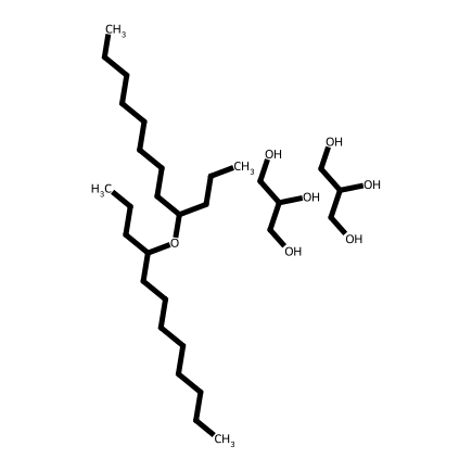 CCCCCCCCC(CCC)OC(CCC)CCCCCCCC.OCC(O)CO.OCC(O)CO